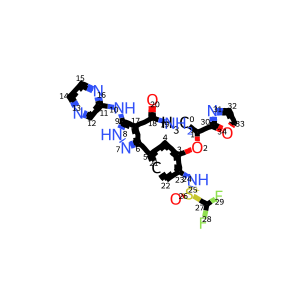 CC(Oc1cc(-c2n[nH]c(Nc3cnccn3)c2C(N)=O)ccc1N[S+]([O-])C(F)F)c1ncco1